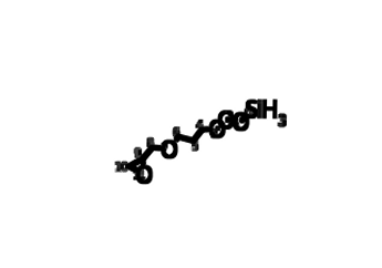 [SiH3]OOOCCCOCC1CO1